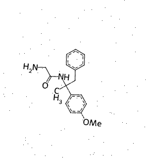 COc1ccc(C(C)(Cc2ccccc2)NC(=O)CN)cc1